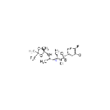 C=C(/C=C(\C)N(CC)S(=O)(=O)c1ccc(F)c(Cl)c1)NC(=C)OC(C)(C)C(F)(F)F